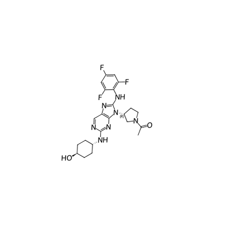 CC(=O)N1CC[C@@H](n2c(Nc3c(F)cc(F)cc3F)nc3cnc(N[C@H]4CC[C@H](O)CC4)nc32)C1